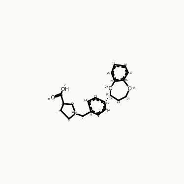 O=C(O)C1CCN(Cc2ccc([C@H]3CCOc4ccccc4O3)cc2)C1